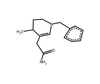 CC1CCN(Cc2ccccc2)C=C1CC(N)=O